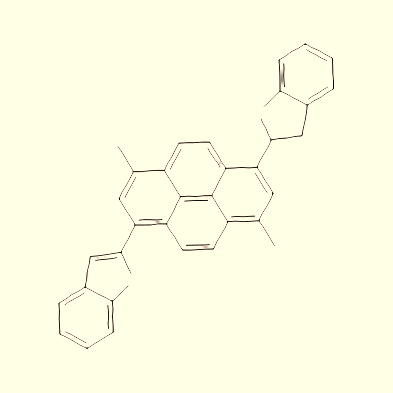 Cc1cc(-c2cc3ccccc3o2)c2ccc3c(C)cc(C4Cc5ccccc5O4)c4ccc1c2c34